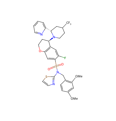 COc1ccc(CN(c2nccs2)S(=O)(=O)c2cc3c(cc2F)[C@H](N2CCC(C(F)(F)F)C[C@H]2c2ccccn2)CCO3)c(OC)c1